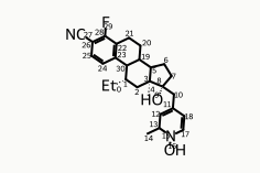 CC[C@H]1C[C@@]2(C)C(CC[C@@]2(O)CC2=CC(C)N(O)C=C2)C2CCc3c(ccc(C#N)c3F)C21